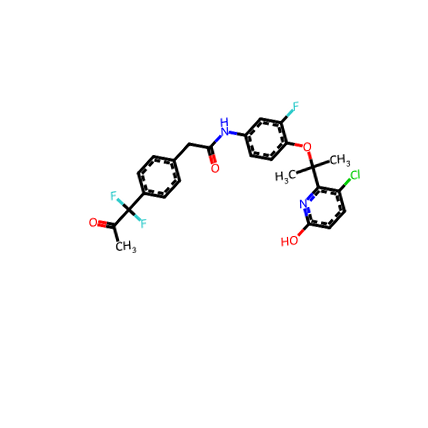 CC(=O)C(F)(F)c1ccc(CC(=O)Nc2ccc(OC(C)(C)c3nc(O)ccc3Cl)c(F)c2)cc1